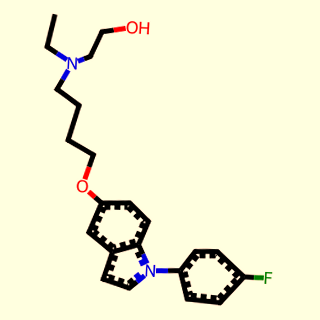 CCN(CCO)CCCCOc1ccc2c(ccn2-c2ccc(F)cc2)c1